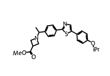 COC(=O)C1CN(C(C)c2ccc(-c3ncc(-c4ccc(OC(C)C)cc4)s3)cc2)C1